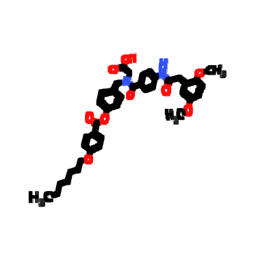 CCCCCCCOc1ccc(C(=O)Oc2ccc(CN(CC(=O)O)C(=O)c3ccc(NC(=O)Cc4cc(OC)ccc4OC)cc3)cc2)cc1